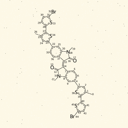 Cc1cc(-c2ccc3c(c2)N(C)C(=O)/C3=C2/C(=O)N(C)c3cc(-c4cc(C)c(-c5ccc(Br)s5)s4)ccc32)sc1-c1ccc(Br)s1